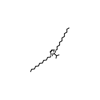 CCCCCCCCCCCN1C=CN(CCCCCCCCCCC)C1C(C)C